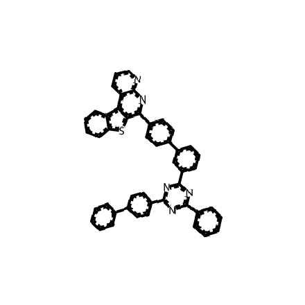 c1ccc(-c2ccc(-c3nc(-c4ccccc4)nc(-c4cccc(-c5ccc(-c6nc7ncccc7c7c6sc6ccccc67)cc5)c4)n3)cc2)cc1